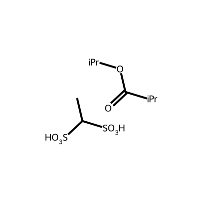 CC(C)OC(=O)C(C)C.CC(S(=O)(=O)O)S(=O)(=O)O